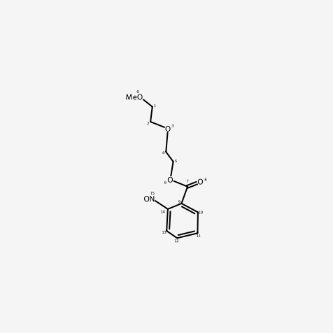 COCCOCCOC(=O)c1ccccc1N=O